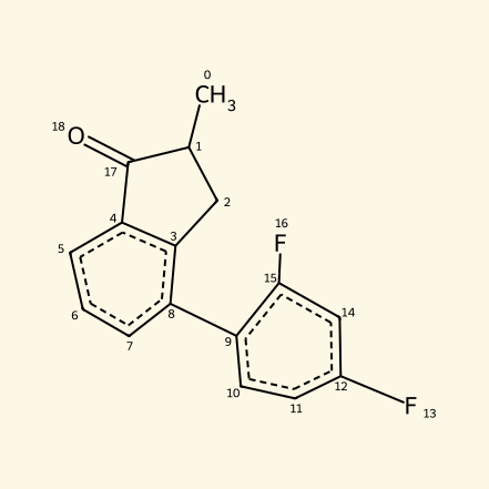 CC1Cc2c(cccc2-c2ccc(F)cc2F)C1=O